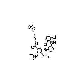 CCN(CC)Cc1cc(C(=O)OCCCCCOC(C)=O)cc(Br)c1N.Clc1cccc(Cl)c1Nc1ccccc1